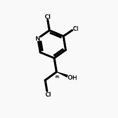 O[C@@H](CCl)c1cnc(Cl)c(Cl)c1